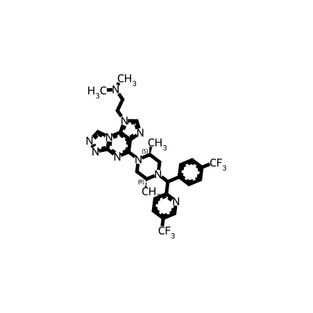 C[C@@H]1CN(c2nc3nncn3c3c2ncn3CCN(C)C)[C@@H](C)CN1C(c1ccc(C(F)(F)F)cc1)c1ccc(C(F)(F)F)cn1